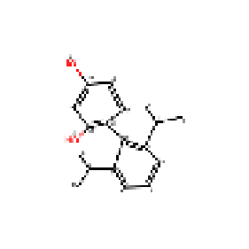 CC(C)c1cccc(C(C)C)c1-c1ccc(O)cc1O